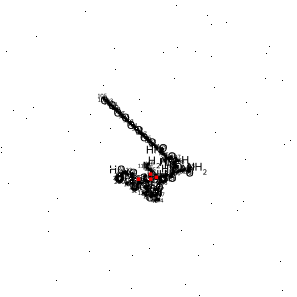 CC[C@H](C)[C@@H]([C@@H](CC(=O)N1CCC[C@H]1[C@H](OC)[C@@H](C)C(=O)N[C@H](C)[C@@H](O)c1ccccc1)OC)N(C)C(=O)[C@@H](NC(=O)[C@H](C(C)C)N(C)C(=O)OCc1ccc(NC(=O)[C@H](CCCNC(N)=O)NC(=O)[C@@H](NC(=O)[C@@H](N)CCC(=O)NCCOCCOCCOCCOCCOCCOCCOCCOC)C(C)C)cc1C(=O)NCCCN(C)C)C(C)C